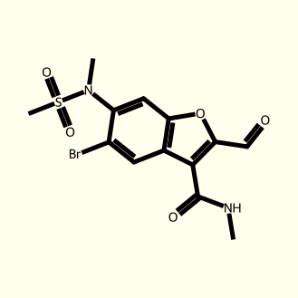 CNC(=O)c1c(C=O)oc2cc(N(C)S(C)(=O)=O)c(Br)cc12